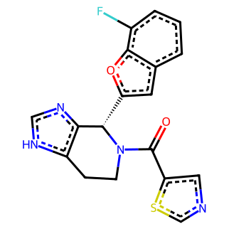 O=C(c1cncs1)N1CCc2[nH]cnc2[C@@H]1c1cc2cccc(F)c2o1